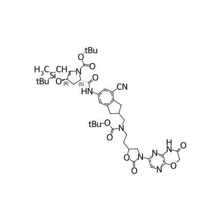 CC(C)(C)OC(=O)N(CCC1CN(c2cnc3c(n2)NC(=O)CO3)C(=O)O1)CC1Cc2cc(NC(=O)[C@@H]3C[C@@H](O[Si](C)(C)C(C)(C)C)CN3C(=O)OC(C)(C)C)cc(C#N)c2C1